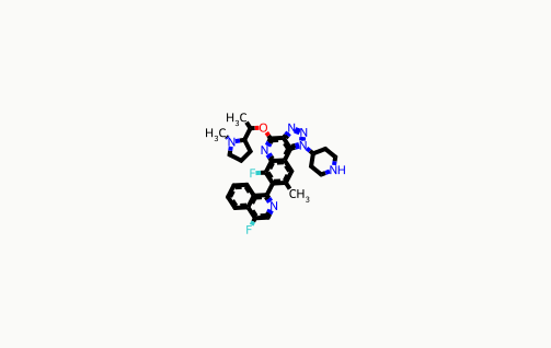 Cc1cc2c(nc(OC(C)C3CCCN3C)c3nnn(C4CCNCC4)c32)c(F)c1-c1ncc(F)c2ccccc12